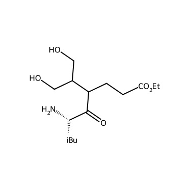 CCOC(=O)CCC(C(=O)[C@@H](N)[C@@H](C)CC)C(CO)CO